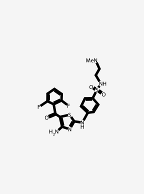 CNCCNS(=O)(=O)c1ccc(Nc2nc(N)c(C(=O)c3c(F)cccc3F)s2)cc1